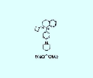 COC(OC)C1CCN(c2ccc([C@H]3c4ccccc4CC[C@H]3C3CCC3)cc2)CC1